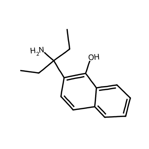 CCC(N)(CC)c1ccc2ccccc2c1O